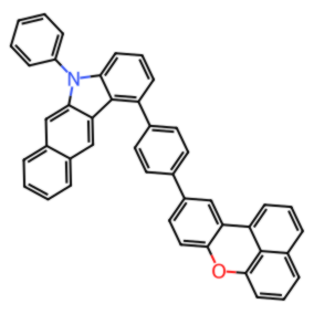 c1ccc(-n2c3cc4ccccc4cc3c3c(-c4ccc(-c5ccc6c(c5)-c5cccc7cccc(c57)O6)cc4)cccc32)cc1